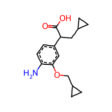 Nc1ccc(C(CC2CC2)C(=O)O)cc1OCC1CC1